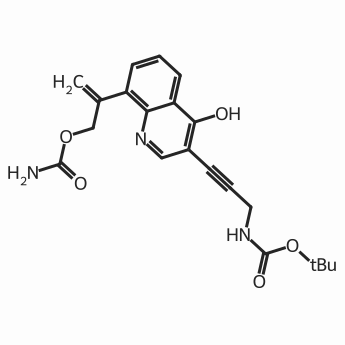 C=C(COC(N)=O)c1cccc2c(O)c(C#CCNC(=O)OC(C)(C)C)cnc12